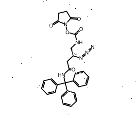 [N-]=[N+]=N[C@H](CNC(=O)ON1C(=O)CCC1=O)CC(=O)NC(c1ccccc1)(c1ccccc1)c1ccccc1